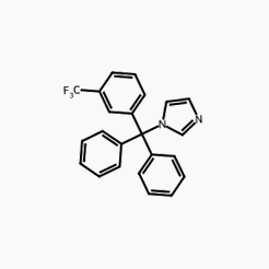 FC(F)(F)c1cccc(C(c2ccccc2)(c2ccccc2)n2ccnc2)c1